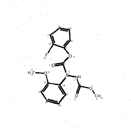 COC(=O)NN(C(=O)Oc1ccccc1F)c1ccccc1OC